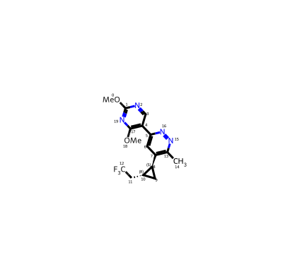 COc1ncc(-c2cc([C@H]3C[C@@H]3CC(F)(F)F)c(C)nn2)c(OC)n1